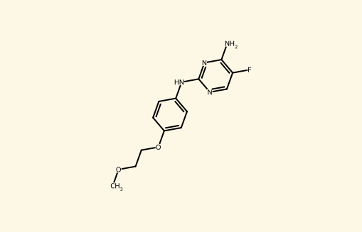 COCCOc1ccc(Nc2ncc(F)c(N)n2)cc1